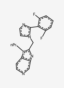 CCCn1c(Cn2ccnc2-c2c(F)cccc2F)nc2cnccc21